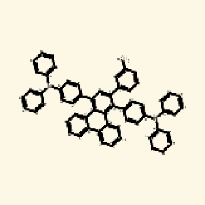 Cc1cccc(-c2cc(-c3ccc(N(c4ccccc4)c4ccccc4)cc3)c3c4ccccc4c4ccccc4c3c2-c2ccc(N(C3=CCCC=C3)c3ccccc3)cc2)c1